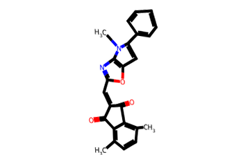 Cc1ccc(C)c2c1C(=O)C(=Cc1nc3c(cc(-c4ccccc4)n3C)o1)C2=O